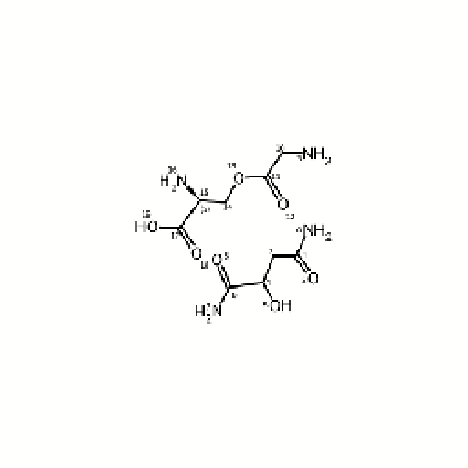 NC(=O)CC(O)C(N)=O.NCC(=O)OC[C@H](N)C(=O)O